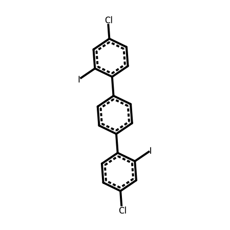 Clc1ccc(-c2ccc(-c3ccc(Cl)cc3I)cc2)c(I)c1